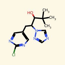 CC(C)(C)C(O)C(Cc1cnc(Cl)nc1)n1cncn1